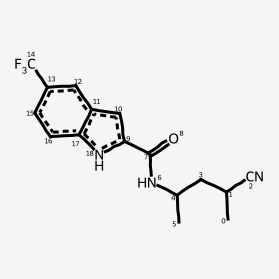 CC(C#N)CC(C)NC(=O)c1cc2cc(C(F)(F)F)ccc2[nH]1